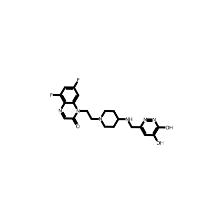 O=c1cnc2c(F)cc(F)cc2n1CCN1CCC(NCc2cc(O)c(O)nn2)CC1